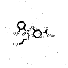 C=CCON([C@H]1CN[C@H](C(=O)OC)C=C1C)S(=O)(=O)c1ccccc1[N+](=O)[O-]